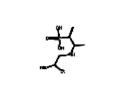 CCCCC(CC)CNC(C)C(C)P(=O)(O)O